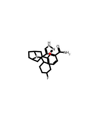 NC(=O)c1cccc(C2CC3CCC(C2)N3C(c2c[nH]nn2)C2CCC(F)CC2)c1